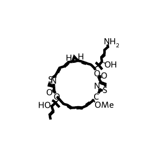 C/C=C/[C@H](O)C(C)(C)[C@@H]1C\C=C/C=C\C=C\[C@H](OC)Cc2nc(cs2)C(=O)O[C@H](C(C)(C)[C@@H](O)/C=C/CCN)C/C=C\[C@H]2C[C@H]2/C=C/C=C\c2nc(cs2)C(=O)O1